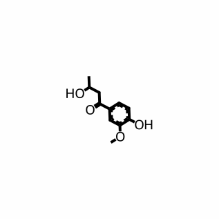 COc1cc(C(=O)CC(C)O)ccc1O